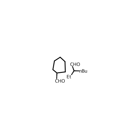 CCCCC(C=O)CC.O=CC1CCCCC1